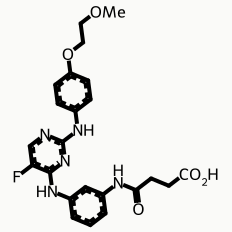 COCCOc1ccc(Nc2ncc(F)c(Nc3cccc(NC(=O)CCC(=O)O)c3)n2)cc1